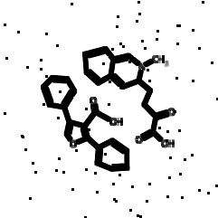 CN1C=c2ccccc2=CC1CCC(=O)C(=O)O.O=C(O)c1c(-c2ccccc2)coc1-c1ccccc1